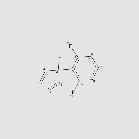 C=CC(C)(C=C)c1c(F)cccc1F